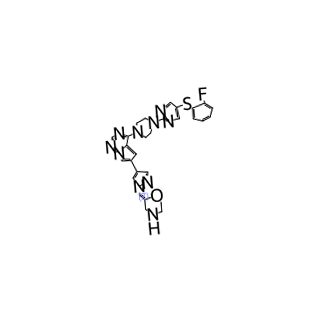 Fc1ccccc1Sc1cnc(N2CCN(c3ncnn4cc(-c5cnn(/C=C6/CNCCO6)c5)cc34)CC2)nc1